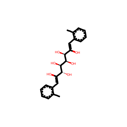 Cc1ccccc1C=C(O)[C@@H](O)[C@@H](O)[C@H](O)[C@@H](O)C(O)=Cc1ccccc1C